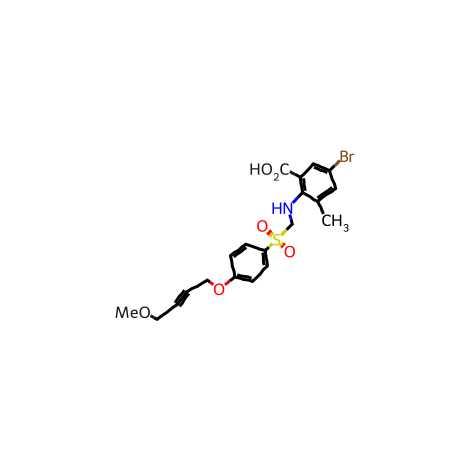 COCC#CCOc1ccc(S(=O)(=O)CNc2c(C)cc(Br)cc2C(=O)O)cc1